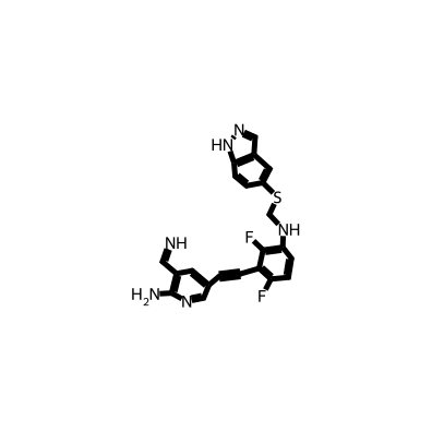 N=Cc1cc(C#Cc2c(F)ccc(NCSc3ccc4[nH]ncc4c3)c2F)cnc1N